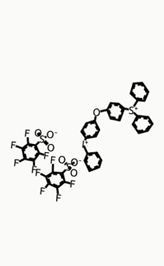 O=S(=O)([O-])c1c(F)c(F)c(F)c(F)c1F.O=S(=O)([O-])c1c(F)c(F)c(F)c(F)c1F.c1ccc([I+]c2ccc(Oc3ccc([S+](c4ccccc4)c4ccccc4)cc3)cc2)cc1